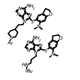 CC(=O)N1CCC(CCn2c(Sc3cc4c(cc3N(C)C)OCC4)nc3c(N)ncnc32)CC1.CN(C)c1cc2c(cc1Sc1nc3c(N)ncnc3n1CCCNC(C)(C)C)CCO2